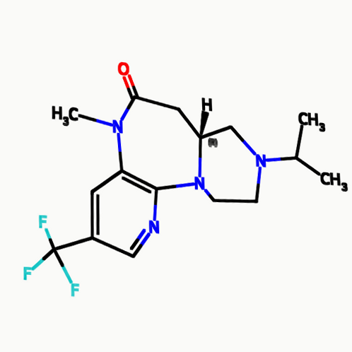 CC(C)N1CCN2c3ncc(C(F)(F)F)cc3N(C)C(=O)C[C@@H]2C1